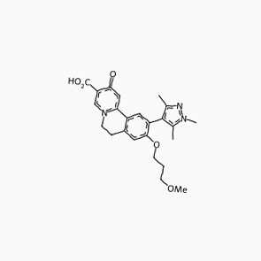 COCCCOc1cc2c(cc1-c1c(C)nn(C)c1C)-c1cc(=O)c(C(=O)O)cn1CC2